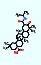 CC(C)NC(=O)C1C[C@@]2(C)C(CC[C@]3(C)C2CC=C2C4CC(C)(C)CC[C@]4(C(=O)O)CC[C@]23C)C(C)(C)C1=O